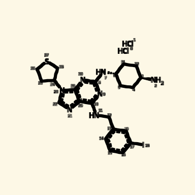 Cl.Cl.N[C@H]1CC[C@H](Nc2nc(NCc3cccc(I)c3)c3ncn(C4CCSC4)c3n2)CC1